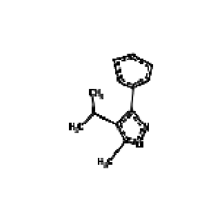 Cc1onc(-c2ccccc2)c1C(C)C